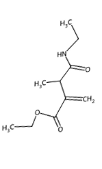 C=C(C(=O)OCC)C(C)C(=O)NCC